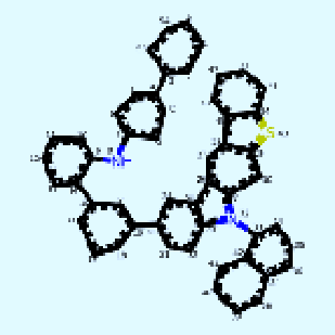 c1ccc(-c2ccc(Nc3ccccc3-c3cccc(-c4ccc5c(c4)c4cc6c(cc4n5-c4cccc5ccccc45)sc4ccccc46)c3)cc2)cc1